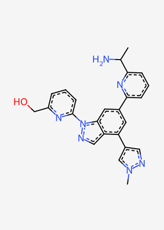 CC(N)c1cccc(-c2cc(-c3cnn(C)c3)c3cnn(-c4cccc(CO)n4)c3c2)n1